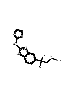 CC(C)(CNC=O)c1ccc2[nH]c(Nc3nccs3)nc2c1